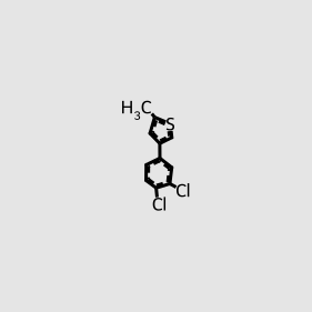 Cc1cc(-c2ccc(Cl)c(Cl)c2)cs1